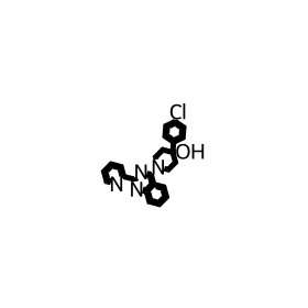 OC1(c2ccc(Cl)cc2)CCN(c2nc(-c3ccccn3)nc3ccccc23)CC1